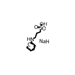 O=S(=O)(O)CCCNc1ccccc1.[NaH]